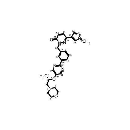 C[C@@H](CN1CCOCC1)Oc1cnc(-c2cccc(Cn3nc(-c4cnn(C)c4)ccc3=O)c2)nc1